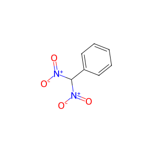 O=[N+]([O-])C(c1ccccc1)[N+](=O)[O-]